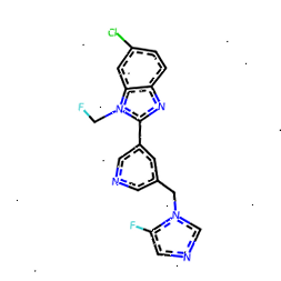 FCn1c(-c2cncc(Cn3cncc3F)c2)nc2ccc(Cl)cc21